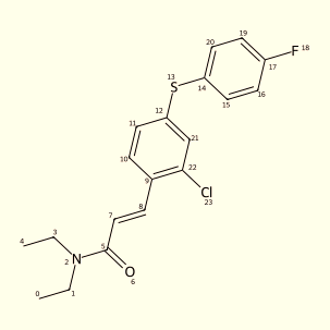 CCN(CC)C(=O)C=Cc1ccc(Sc2ccc(F)cc2)cc1Cl